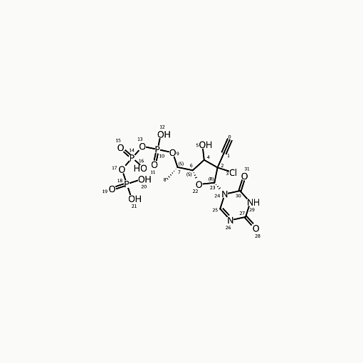 C#CC1(Cl)C(O)[C@@H]([C@H](C)OP(=O)(O)OP(=O)(O)OP(=O)(O)O)O[C@H]1n1cnc(=O)[nH]c1=O